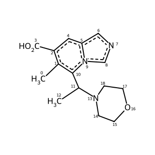 Cc1c(C(=O)O)cc2cncn2c1C(C)N1CCOCC1